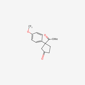 COC(=O)C1(c2ccc(OC(F)(F)F)cc2)CCC(=O)C1